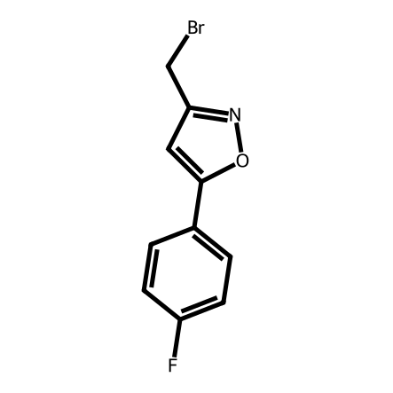 Fc1ccc(-c2cc(CBr)no2)cc1